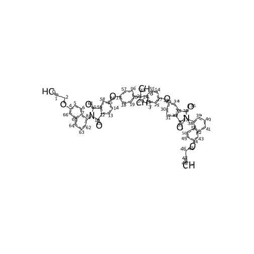 C#CCOc1ccc2c(N3C(=O)c4ccc(Oc5ccc(C(C)(C)c6ccc(Oc7ccc8c(c7)C(=O)N(c7cccc9cc(OCC#C)ccc79)C8=O)cc6)cc5)cc4C3=O)cccc2c1